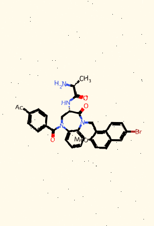 COc1ccc2cc(Br)ccc2c1CN1C(=O)[C@@H](NC(=O)[C@H](C)N)CN(C(=O)c2ccc(C(C)=O)cc2)c2ccccc21